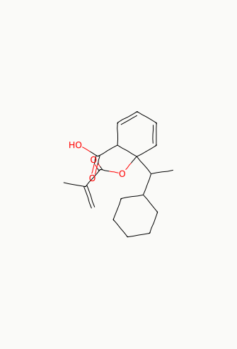 C=C(C)C(=O)OC1(C(C)C2CCCCC2)C=CC=CC1C(=O)O